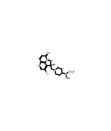 CC(C)(C)N(C(=O)O)C1CCN(C[C@@]2(F)Cn3c(=O)ccc4ncc(F)c2c43)CC1